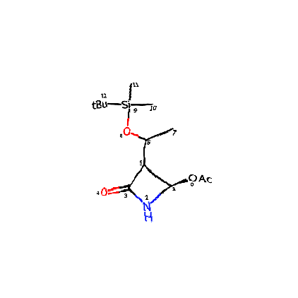 CC(=O)O[C@H]1NC(=O)C1C(C)O[Si](C)(C)C(C)(C)C